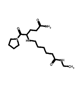 CCNC(=O)CCCCCNC(CCC(N)=O)C(=O)N1CCCC1